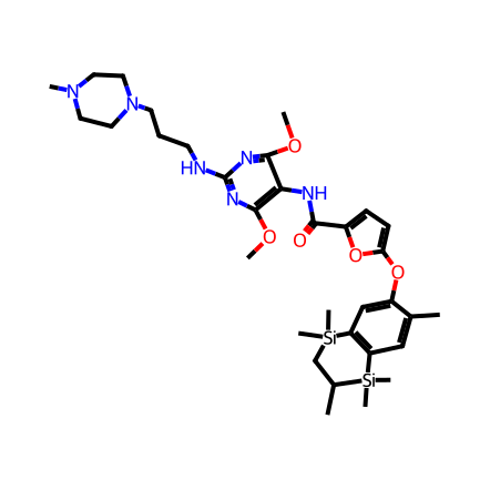 COc1nc(NCCCN2CCN(C)CC2)nc(OC)c1NC(=O)c1ccc(Oc2cc3c(cc2C)[Si](C)(C)C(C)C[Si]3(C)C)o1